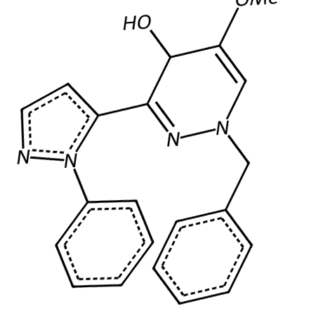 COC1=CN(Cc2ccccc2)N=C(c2ccnn2-c2ccccc2)C1O